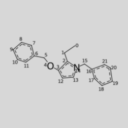 CCc1c(OCc2ccccc2)ccn1Cc1ccccc1